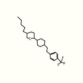 CCCCCC1CCC(C2CCC(CCc3ccc(C(F)(F)F)cc3)CC2)CC1